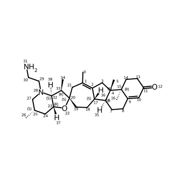 CC1=C2C[C@@]3(C)[C@@H](CCC4=CC(=O)CC[C@@]43C)[C@@H]2CC[C@@]2(C1)O[C@@H]1C[C@H](C)CN(CCN)[C@H]1[C@H]2C